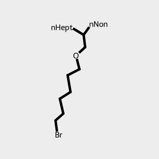 CCCCCCCCCC(CCCCCCC)COCCCCCCBr